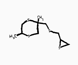 CC1CSC(C)(CSCC2CS2)CS1